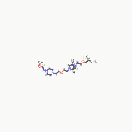 COCCN1CCN(CCOCCN2C[C@@H]3C[C@H]2CN3CCOCC(C)C)CC1